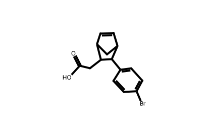 O=C(O)CC1C2C=CC(C2)C1c1ccc(Br)cc1